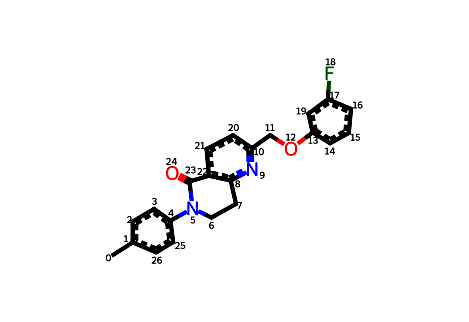 Cc1ccc(N2CCc3nc(COc4cccc(F)c4)ccc3C2=O)cc1